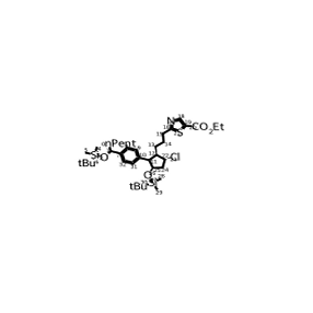 CCCCCC(O[Si](C)(C)C(C)(C)C)c1ccc(C2[C@@H](CCCc3ncc(C(=O)OCC)s3)[C@H](Cl)C[C@H]2O[Si](C)(C)C(C)(C)C)cc1